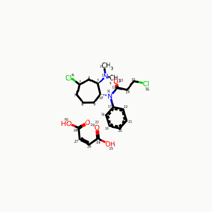 CN(C)[C@@H]1CC(Cl)CCC[C@H]1N(C(=O)CCCl)c1ccccc1.O=C(O)/C=C\C(=O)O